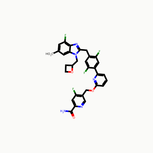 NC(=O)c1cc(F)c(COc2cccc(-c3cc(F)c(Cc4nc5c(F)cc(C(=O)O)cc5n4CC4CCO4)cc3F)n2)cn1